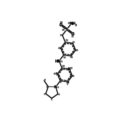 CC1CCCN1c1ncnc(Nc2cccc(CS(N)(=O)=O)c2)n1